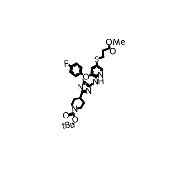 COC(=O)CCSc1cnc(Nc2nc(C3CCN(C(=O)OC(C)(C)C)CC3)ns2)c(Oc2ccc(F)cc2)c1